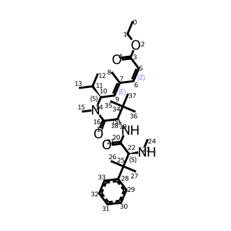 CCOC(=O)/C=C\C(C)=C\[C@H](C(C)C)N(C)C(=O)[C@@H](NC(=O)[C@@H](NC)C(C)(C)c1ccccc1)C(C)(C)C